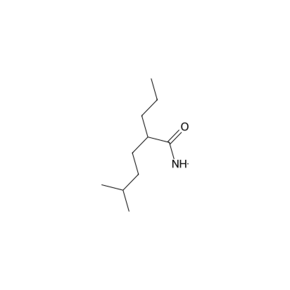 CCCC(CCC(C)C)C([NH])=O